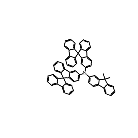 CC1(C)c2ccccc2-c2ccc(N(c3ccc4c(c3)-c3ccccc3C43c4ccccc4-c4ccccc43)c3ccc4c(c3)C3(c5ccccc5-c5ccccc53)c3ccccc3-4)cc21